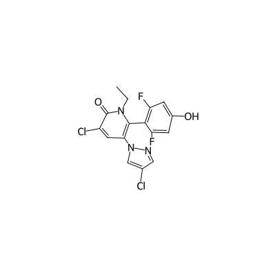 CCn1c(-c2c(F)cc(O)cc2F)c(-n2cc(Cl)cn2)cc(Cl)c1=O